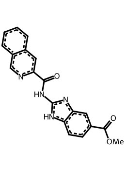 COC(=O)c1ccc2[nH]c(NC(=O)c3cc4ccccc4cn3)nc2c1